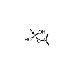 CN(C)OP(O)(O)=S